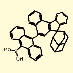 OB(O)c1c2ccccc2c(-c2cc3c(c4ccccc24)-c2ccccc2C32C3CC4CC(C3)CC2C4)c2ccccc12